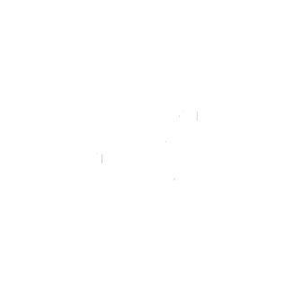 CCC1CCCC(CI)C1